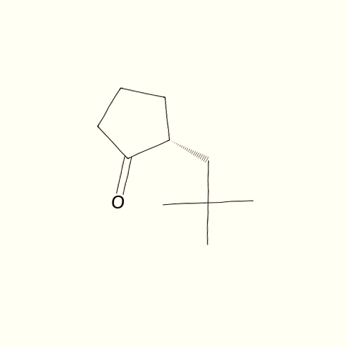 CC(C)(C)C[C@H]1CCCC1=O